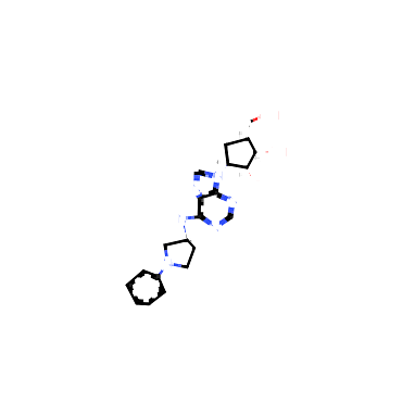 OC[C@H]1C[C@@H](n2cnc3c(N[C@H]4CCN(c5ccccc5)C4)ncnc32)[C@@H](O)[C@H]1O